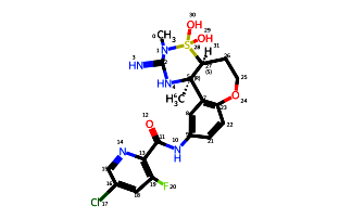 CN1C(=N)N[C@]2(C)c3cc(NC(=O)c4ncc(Cl)cc4F)ccc3OCC[C@@H]2S1(O)O